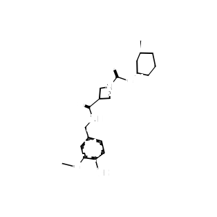 COc1cc(CNC(=O)C2CN(C(=O)O[C@H]3CCC[C@H](C)C3)C2)ccc1O